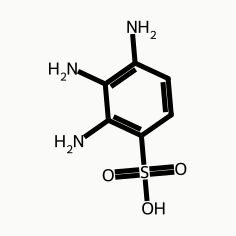 Nc1ccc(S(=O)(=O)O)c(N)c1N